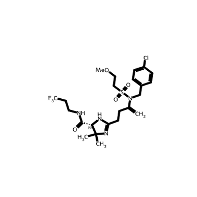 C=C(CCC1=NC(C)(C)[C@H](C(=O)NCCC(F)(F)F)N1)N(Cc1ccc(Cl)cc1)S(=O)(=O)CCOC